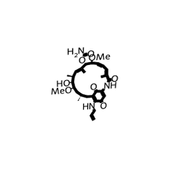 C=CCNC1=C2C[C@H](C)C[C@H](OC)[C@H](O)[C@@H](C)/C=C(\C)[C@H](OC(N)=O)[C@@H](OC)/C=C\C=C(/C)C(=O)NC(=CC1=O)C2=O